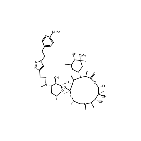 CC[C@H]1OC(=O)[C@H](C)C([C@H]2C[C@@](C)(OC)[C@@H](O)[C@H](C)O2)[C@H](C)[C@@H](O[C@@H]2O[C@H](C)C[C@H](N(C)CCc3cn(CCc4ccc(NC(C)=O)cc4)nn3)[C@H]2O)[C@](C)(O)C[C@@H](C)CN(C)[C@H](C)[C@@H](O)[C@]1(C)O